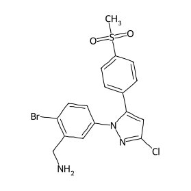 CS(=O)(=O)c1ccc(-c2cc(Cl)nn2-c2ccc(Br)c(CN)c2)cc1